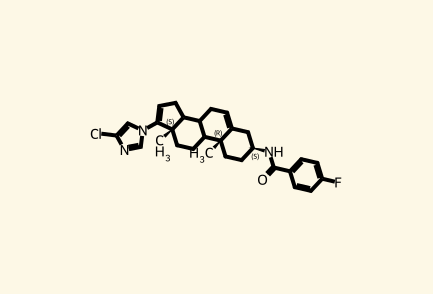 C[C@]12CC[C@H](NC(=O)c3ccc(F)cc3)CC1=CCC1C2CC[C@]2(C)C(n3cnc(Cl)c3)=CCC12